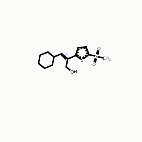 CS(=O)(=O)c1ccc(/C(=C/C2CCCCC2)CO)s1